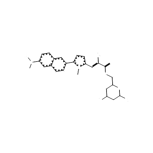 CCCN(CCC)c1ccc2cc(-c3ccc(/C=C(\C#N)C(=O)NCC4CC(O)CC(O)O4)n3C)ccc2c1